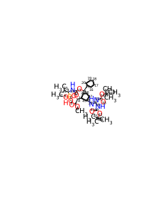 COC(=O)C(OP(=O)(O)C(NC(=O)OCc1ccccc1)C(C)C)c1cccc(NC(=NC(=O)OC(C)(C)C)NC(=O)OC(C)(C)C)c1